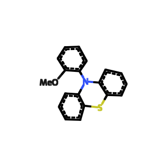 COc1ccccc1N1c2ccccc2Sc2ccccc21